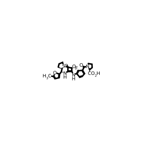 Cc1ccc([C@@H](Nc2c(Nc3cccc(C(=O)N4CCC[C@H]4C(=O)O)c3F)c(=O)c2=O)[C@H]2CCCS2)o1